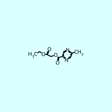 CCOC(=O)COC(=O)c1cnc(C)cn1